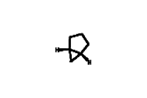 [CH]1[C@@H]2CCC[C@H]12